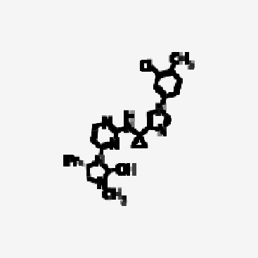 Cc1ccc(-n2cnc(C3(Nc4nccc(N5C(O)N(C)C[C@@H]5C(C)C)n4)CC3)c2)cc1Cl